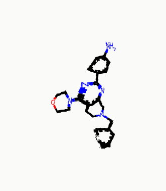 Nc1ccc(-c2nc3c(c(N4CCOCC4)n2)CCN(Cc2ccccc2)C3)cc1